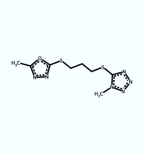 Cc1nnc(SCCCSc2nnnn2C)o1